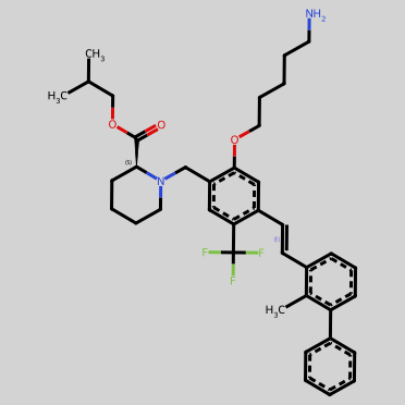 Cc1c(/C=C/c2cc(OCCCCCN)c(CN3CCCC[C@H]3C(=O)OCC(C)C)cc2C(F)(F)F)cccc1-c1ccccc1